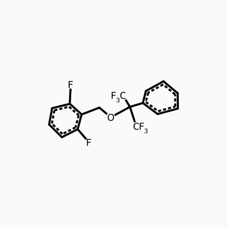 Fc1cccc(F)c1COC(c1ccccc1)(C(F)(F)F)C(F)(F)F